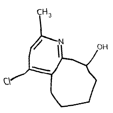 Cc1cc(Cl)c2c(n1)C(O)CCCC2